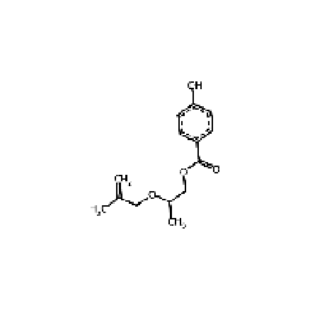 C=C(C)COC(C)COC(=O)c1ccc(O)cc1